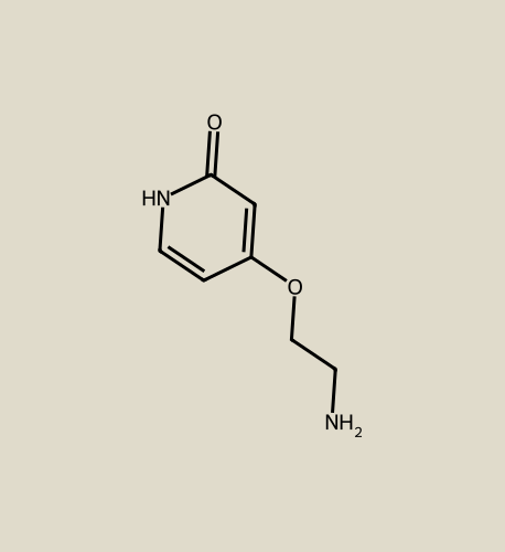 NCCOc1cc[nH]c(=O)c1